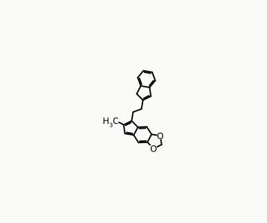 CC1=C(CCC2=Cc3ccccc3C2)C2=CC3OCOC3=CC2=C1